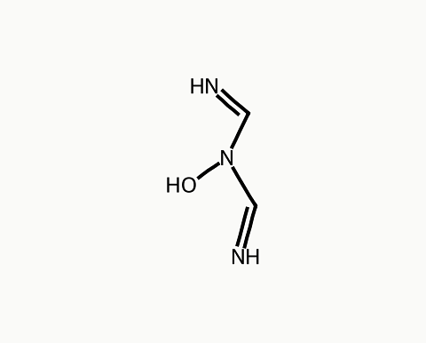 N=CN(O)C=N